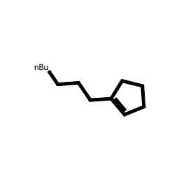 [CH2]CCCCCCC1=CCCC1